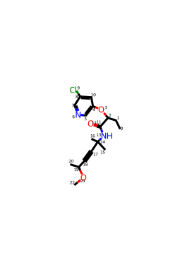 CCC(Oc1cncc(Cl)c1)C(=O)NC(C)(C)C#CC(C)OC